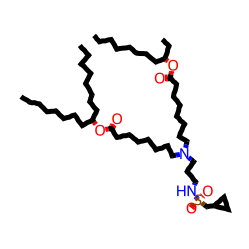 CCCCCCCCC(CC)OC(=O)CCCCCCCN(CCCCCCCC(=O)OC(CCCCCCCC)CCCCCCCC)CCCNS(=O)(=O)CC1CC1